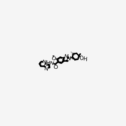 COc1cc2nn([C@@H]3CCC(C)(O)C[C@H]3C)cc2cc1C(=O)Nc1cnc2cccnn12